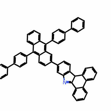 c1ccc(-c2ccc(-c3c4ccccc4c(-c4ccc(-c5ccccc5)cc4)c4cc(-c5ccc6c(c5)N=C5c7ccccc7-c7ccccc7C56)ccc34)cc2)cc1